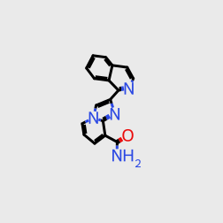 NC(=O)c1cccn2cc(-c3nccc4ccccc34)nc12